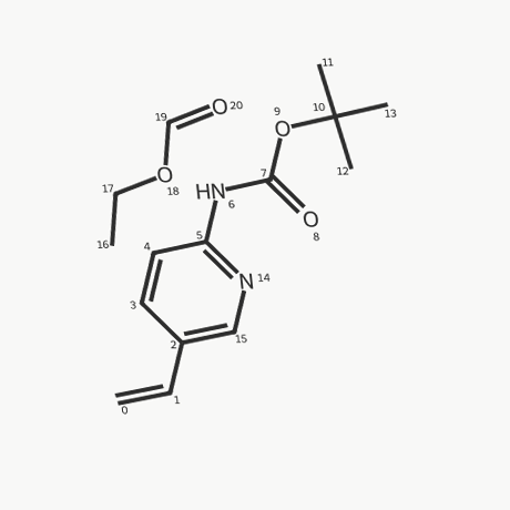 C=Cc1ccc(NC(=O)OC(C)(C)C)nc1.CCOC=O